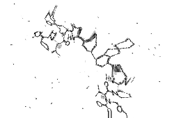 COC(=O)N[C@H](C(=O)N1CC2(C[C@H]1c1ncc(-c3ccc(-c4ccc(-c5cnc([C@@H]6CCCN6C(=O)[C@H](C(C)C)N(COCC[Si](C)(C)C)C(=O)OC)[nH]5)c5c4CC4(CCCC4)C5)cc3)[nH]1)OCCO2)C(C)C